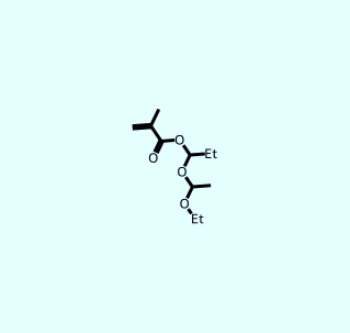 C=C(C)C(=O)OC(CC)OC(C)OCC